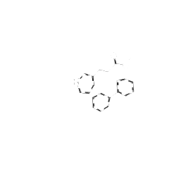 COC(=O)CCc1cccnc1.c1ccc(-c2ccccc2)cc1